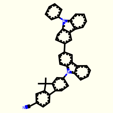 CC1(C)c2cc(C#N)ccc2-c2ccc(-n3c4ccccc4c4cc(-c5ccc6c(c5)c5ccccc5n6-c5ccccc5)ccc43)cc21